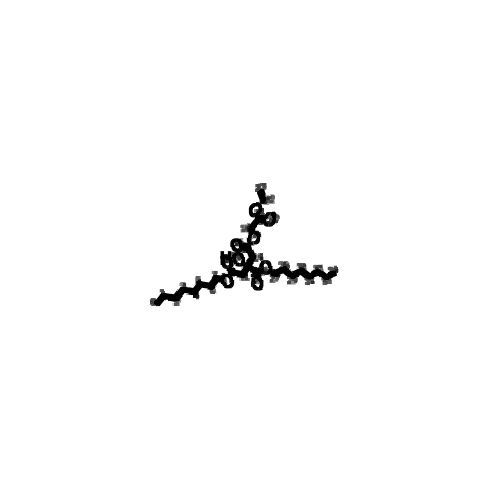 CCCCCCCCOC(=O)CC(O)(CC(=O)OCC(=O)OCC)C(=O)OCCCCCCCC